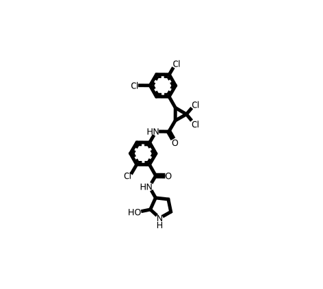 O=C(NC1CCNC1O)c1cc(NC(=O)C2C(c3cc(Cl)cc(Cl)c3)C2(Cl)Cl)ccc1Cl